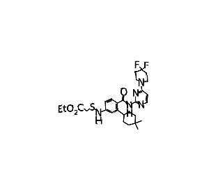 CCOC(=O)CSNc1ccc(C(=O)Nc2nccc(N3CCC(F)(F)CC3)n2)c(C2CCC(C)(C)CC2)c1